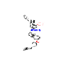 CC(C)(C)C1CCC(Oc2ccc3cc(CNC45CCC(C(=O)O)(CC4)C(O)C5)ccc3c2)CC1